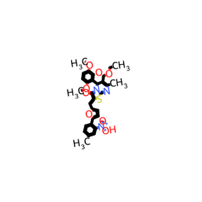 CCOC(=O)C1=C(C)N=c2s/c(=C\c3ccc(-c4ccc(C)cc4[N+](=O)O)o3)c(=O)n2C1c1cc(OC)ccc1OC